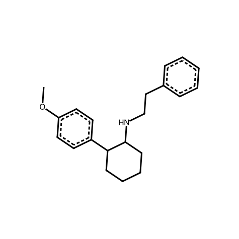 COc1ccc(C2CCCCC2NCCc2ccccc2)cc1